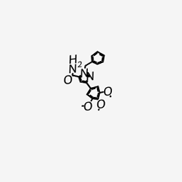 COc1cc(-c2cc(C(N)=O)n(Cc3ccccc3)n2)cc(OC)c1OC